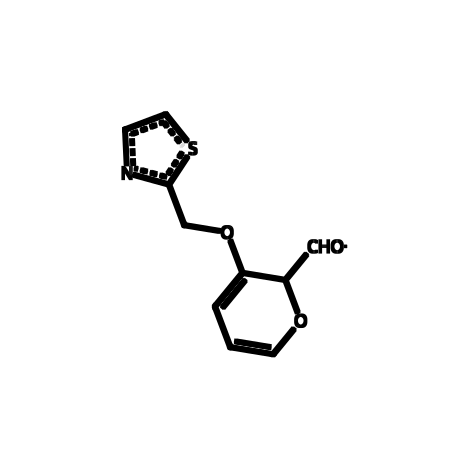 O=[C]C1OC=CC=C1OCc1nccs1